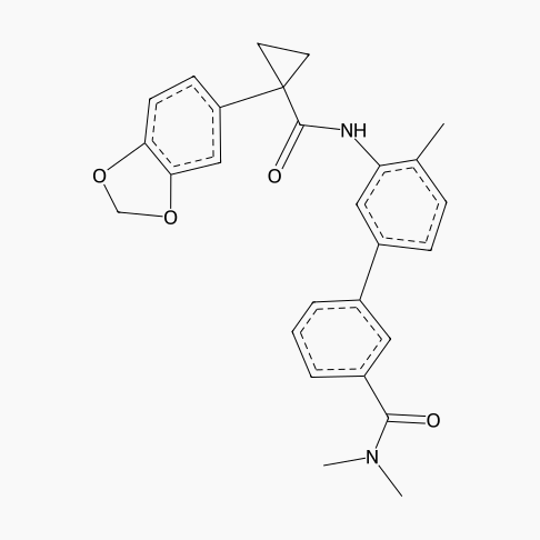 Cc1ccc(-c2cccc(C(=O)N(C)C)c2)cc1NC(=O)C1(c2ccc3c(c2)OCO3)CC1